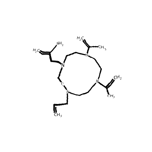 C=CCN1CCN(CC(=C)N)CCN(C(=C)C)CCN(C(=C)C)CC1